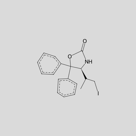 CC(CI)[C@@H]1NC(=O)OC1(c1ccccc1)c1ccccc1